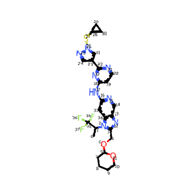 CC(n1c(COC2CCCCO2)nc2cnc(Nc3ccnc(-c4cnn(SC5CC5)c4)n3)cc21)C(F)(F)F